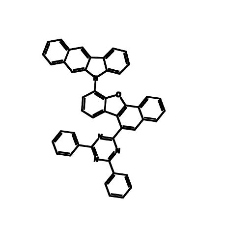 c1ccc(-c2nc(-c3ccccc3)nc(-c3cc4ccccc4c4oc5c(-n6c7ccccc7c7cc8ccccc8cc76)cccc5c34)n2)cc1